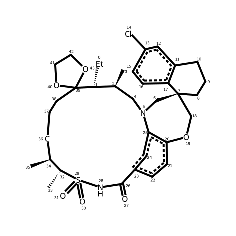 CC[C@@H]1[C@@H](C)CN2C[C@@]3(CCCc4cc(Cl)ccc43)COc3ccc(cc32)C(=O)NS(=O)(=O)[C@H](C)[C@@H](C)CCCC12OCCO2